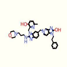 Cc1ccc(O)c(Cn2c(NCCCN3CCOCC3)nc3ccc(C[n+]4ccc5c(c4)nc(O)n5CCc4ccccc4)cc32)n1